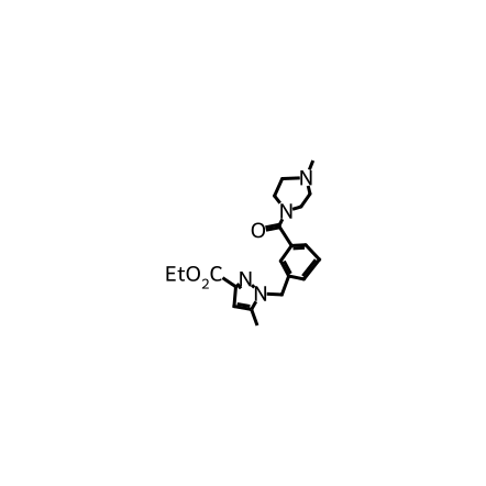 CCOC(=O)c1cc(C)n(Cc2cccc(C(=O)N3CCN(C)CC3)c2)n1